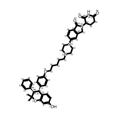 CC1(C)Oc2cc(O)ccc2[C@H](c2ccc(OCCCCCN3CCN(c4ccc5c(c4)CN(C4CCC(=O)NC4=O)C5=O)CC3)cc2)[C@@H]1c1ccccc1